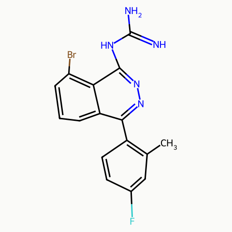 Cc1cc(F)ccc1-c1nnc(NC(=N)N)c2c(Br)cccc12